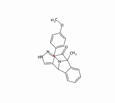 COc1ccc(CN2C3c4ccccc4C2(C)C(=O)c2n[nH]cc23)cc1